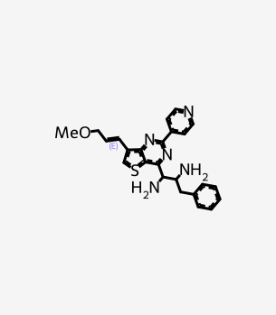 COC/C=C/c1csc2c(C(N)C(N)Cc3ccccc3)nc(-c3ccncc3)nc12